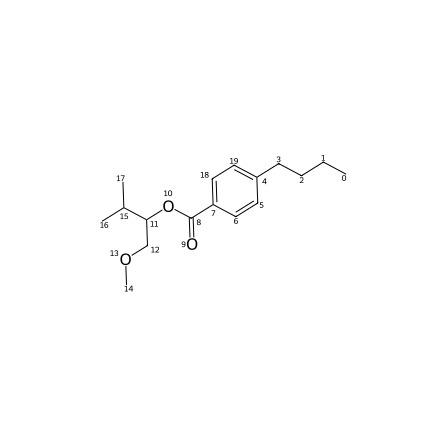 CCCCc1ccc(C(=O)OC(COC)C(C)C)cc1